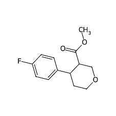 COC(=O)C1COCCC1c1ccc(F)cc1